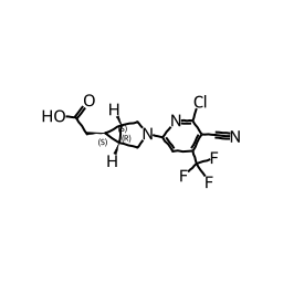 N#Cc1c(C(F)(F)F)cc(N2C[C@@H]3[C@@H](CC(=O)O)[C@@H]3C2)nc1Cl